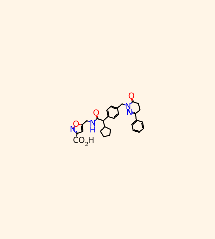 O=C(O)c1cc(CNC(=O)C(c2ccc(CN3N=C(c4ccccc4)CCC3=O)cc2)C2CCCC2)on1